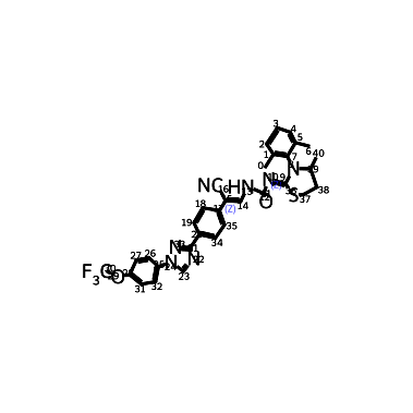 Cc1cccc(C)c1N1/C(=N/C(=O)N/C=C(\C#N)c2ccc(-c3ncn(-c4ccc(OC(F)(F)F)cc4)n3)cc2)SCCC1C